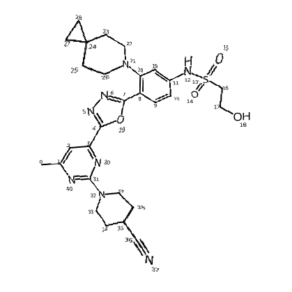 Cc1cc(-c2nnc(-c3ccc(NS(=O)(=O)CCO)cc3N3CCC4(CC3)CC4)o2)nc(N2CCC(C#N)CC2)n1